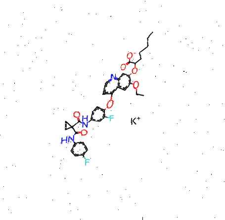 CCCCCC(Oc1cc2nccc(Oc3ccc(NC(=O)C4(C(=O)Nc5ccc(F)cc5)CC4)cc3F)c2cc1OCC)C(=O)[O-].[K+]